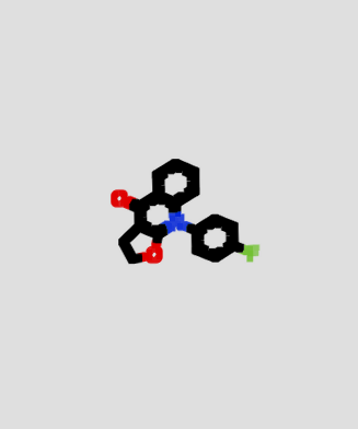 O=c1c2c(n(-c3ccc(F)cc3)c3ccccc13)OCC2